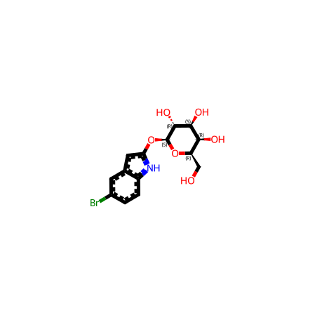 OC[C@H]1O[C@@H](Oc2cc3cc(Br)ccc3[nH]2)[C@H](O)[C@@H](O)[C@H]1O